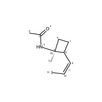 CC(=O)N[C@@]1(C)CCC1/C=C\I